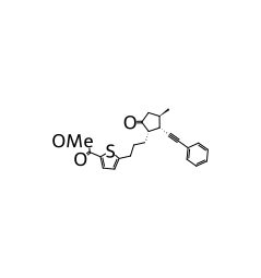 COC(=O)c1ccc(CCC[C@@H]2C(=O)C[C@@H](C)[C@@H]2C#Cc2ccccc2)s1